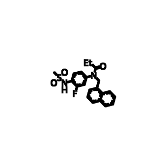 CCC(=O)N(Cc1cccc2ccccc12)c1ccc(NS(C)(=O)=O)c(F)c1